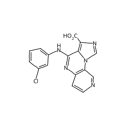 O=C(O)c1ncn2c1c(Nc1cccc(Cl)c1)nc1ccncc12